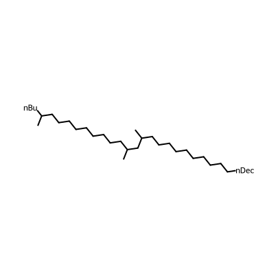 CCCCCCCCCCCCCCCCCCCCC(C)CC(C)CCCCCCCCCC(C)CCCC